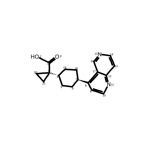 O=C(O)C1([C@H]2CC[C@H](c3ccnc4ccncc43)CC2)CC1